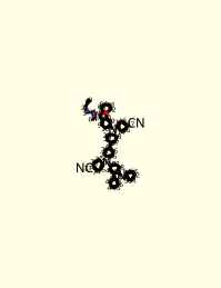 C#C/C=C\C=C(/C)N1C2=CCC(N(c3ccc(C#N)cc3)C3C=CC(c4ccc(N(c5ccc(C#N)cc5)c5ccc6c(c5)c5ccccc5n6-c5ccccc5)cc4)=CC3)C=C2C2C=CC=CC21